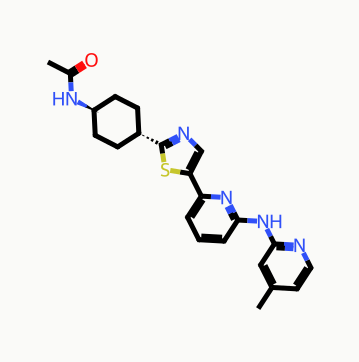 CC(=O)N[C@H]1CC[C@H](c2ncc(-c3cccc(Nc4cc(C)ccn4)n3)s2)CC1